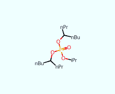 CCCCC(CCC)OP(=O)(OC(C)C)OC(CCC)CCCC